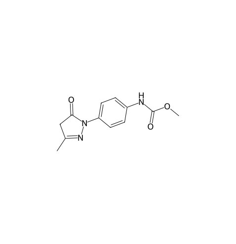 COC(=O)Nc1ccc(N2N=C(C)CC2=O)cc1